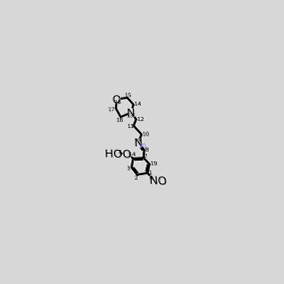 O=Nc1ccc(OO)c(/C=N/CCCN2CCOCC2)c1